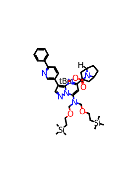 CC(C)(C)OC(=O)N1C2CC[C@H]1CC(c1cc(N(COCC[Si](C)(C)C)COCC[Si](C)(C)C)n3ncc(-c4ccc(-c5ccccc5)nc4)c3n1)C2